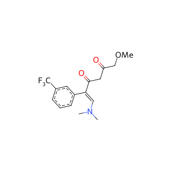 COCC(=O)CC(=O)/C(=C/N(C)C)c1cccc(C(F)(F)F)c1